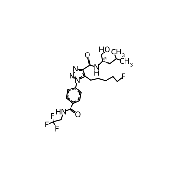 CC(C)C[C@H](CO)NC(=O)c1nnn(-c2ccc(C(=O)NCC(F)(F)F)cc2)c1CCCCCF